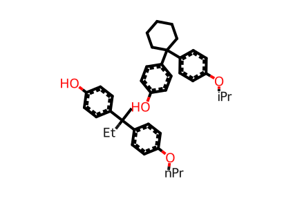 CC(C)Oc1ccc(C2(c3ccc(O)cc3)CCCCC2)cc1.CCCOc1ccc(C(C)(CC)c2ccc(O)cc2)cc1